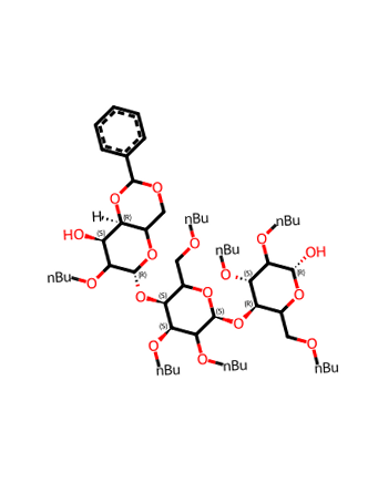 CCCCOCC1O[C@@H](O)C(OCCCC)[C@@H](OCCCC)[C@@H]1O[C@@H]1OC(COCCCC)[C@H](O[C@H]2OC3COC(c4ccccc4)O[C@@H]3[C@H](O)C2OCCCC)[C@H](OCCCC)C1OCCCC